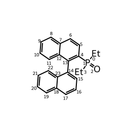 CCP(=O)(CC)c1ccc2ccccc2c1-c1cccc2ccccc12